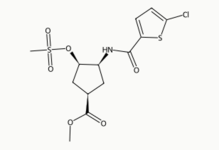 COC(=O)[C@@H]1C[C@H](NC(=O)c2ccc(Cl)s2)[C@H](OS(C)(=O)=O)C1